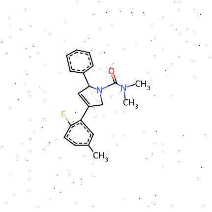 Cc1ccc(F)c(C2=CC(c3ccccc3)N(C(=O)N(C)C)C2)c1